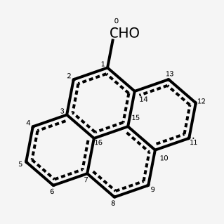 O=Cc1cc2cccc3ccc4[c]ccc1c4c32